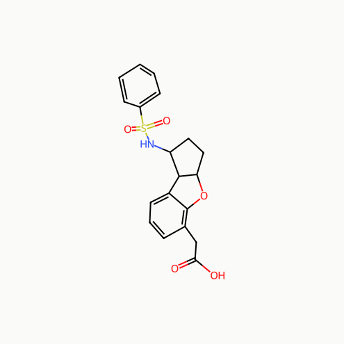 O=C(O)Cc1cccc2c1OC1CCC(NS(=O)(=O)c3ccccc3)C21